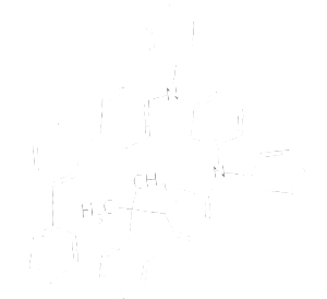 CC1(C)c2ccccc2-c2ccc(-n3c4ccccc4c4ccc(N(c5ccccc5)c5ccc(-c6cccc(-c7ccccc7)c6)cc5)cc43)cc21